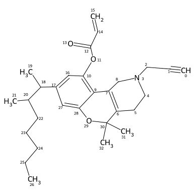 C#CCN1CCC2=C(C1)c1c(OC(=O)C=C)cc(C(C)C(C)CCCCC)cc1OC2(C)C